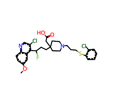 COc1ccc2ncc(Cl)c(C(F)CCC3(CC(=O)O)CCN(CCCSc4ccccc4Cl)CC3)c2c1